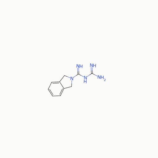 N=C(N)NC(=N)N1Cc2ccccc2C1